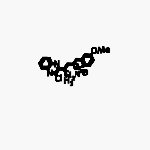 COc1ccc(S(N)(=O)=O)c(CCCC(C)c2nc3ccccc3nc2Cl)c1